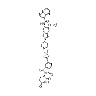 O=C1CCC(N2C(=O)c3ccc(N4CC(F)(CN5CCC(n6cc7cc(NC(=O)c8cnn9cccnc89)c(OC8CC8)cc7n6)CC5)C4)cc3C2=O)C(=O)N1